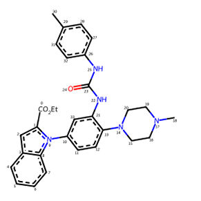 CCOC(=O)c1cc2ccccc2n1-c1ccc(N2CCN(C)CC2)c(NC(=O)Nc2ccc(C)cc2)c1